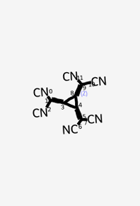 [C-]#[N+]C([N+]#[C-])=C1C(=C(C#N)C#N)/C1=C(\C#N)[N+]#[C-]